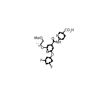 COC[C@@H](C)Oc1cc(C(=O)Nc2ccc(C(=O)O)cn2)cc(Oc2cc(F)cc(F)c2)n1